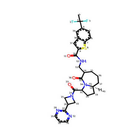 CC(F)(F)c1ccc2sc(C(=O)NCC3CCC[C@H]4CCC(C(=O)N5CC(c6ncccn6)C5)N4C3=O)cc2c1